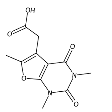 Cc1oc2c(c1CC(=O)O)c(=O)n(C)c(=O)n2C